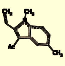 C=Cc1c(C(C)=O)c2cc(C)ccc2n1C